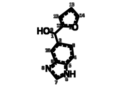 OC(c1ccc2[nH]cnc2c1)c1ccco1